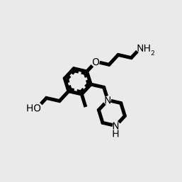 Cc1c(CCO)ccc(OCCCN)c1CN1CCNCC1